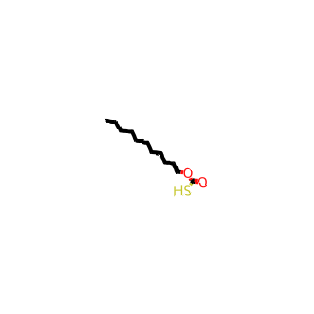 CCCCCCCCCCCOC(=O)S